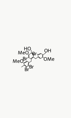 COc1cc(Cc2cc(CO)c(OC)c(Br)c2Cc2cc(OC)c(C)c(Br)c2Br)c(Br)cc1CO